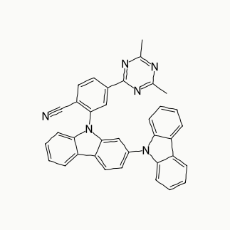 Cc1nc(C)nc(-c2ccc(C#N)c(-n3c4ccccc4c4ccc(-n5c6ccccc6c6ccccc65)cc43)c2)n1